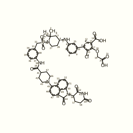 CC1(C)C[C@@H](Nc2cccc(-c3sc(C(=O)O)c(OCC(=O)O)c3Cl)c2)CCN1S(=O)(=O)Cc1cccc(NC(=O)C2CCN(c3ccc4c5c(cccc35)N(C3CCC(=O)NC3=O)C4=O)CC2)c1